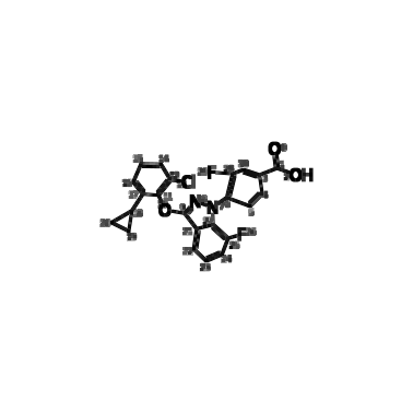 O=C(O)c1ccc(-n2nc(Oc3c(Cl)cccc3C3CC3)c3cccc(F)c32)c(F)c1